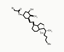 C=C1/C(=C\C=C2/CCC[C@@]3(C)C2CC[C@@H]3[C@H](C)CCCC(C)(C)C)C[C@@H](OC(=O)CBr)CC1O